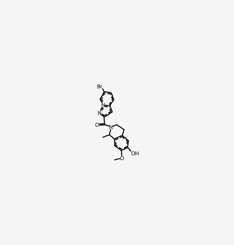 COc1cc2c(cc1O)CCN(C(=O)c1cc3ccc(Br)cn3n1)C2C